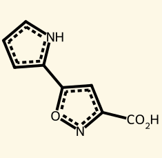 O=C(O)c1cc(-c2ccc[nH]2)on1